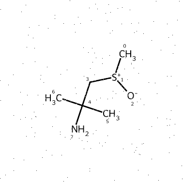 C[S+]([O-])CC(C)(C)N